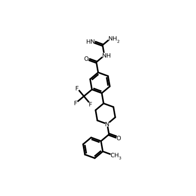 Cc1ccccc1C(=O)N1CCC(c2ccc(C(=O)NC(=N)N)cc2C(F)(F)F)CC1